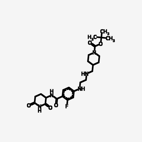 CC(C)(C)OC(=O)N1CCC(CNCCNc2ccc(C(=O)NC3CCC(=O)NC3=O)c(F)c2)CC1